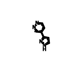 [c]1nnccc1-c1cc[nH]n1